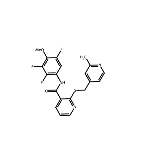 COc1c(F)cc(NC(=O)c2cccnc2SCc2ccnc(C)c2)c(F)c1F